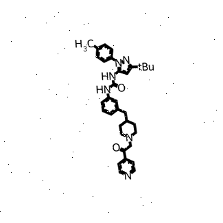 Cc1ccc(-n2nc(C(C)(C)C)cc2NC(=O)Nc2cccc(CC3CCN(CC(=O)c4ccncc4)CC3)c2)cc1